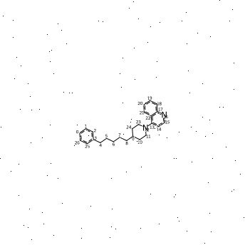 c1ccc(CCCCCC2CCN(c3ccnc4ccccc34)CC2)cc1